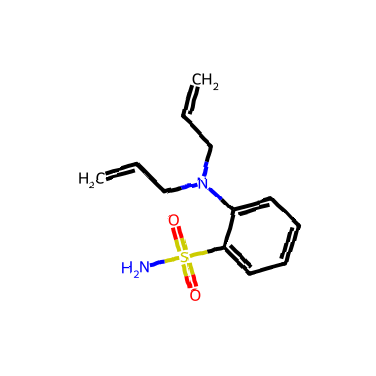 C=CCN(CC=C)c1ccccc1S(N)(=O)=O